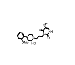 CCCc1c[nH]c(=O)n(CCCN2CCN(c3ccccc3OC)CC2)c1=O.Cl